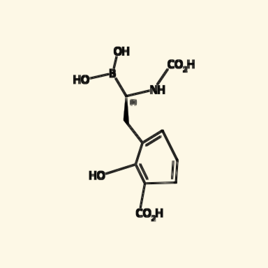 O=C(O)N[C@@H](Cc1cccc(C(=O)O)c1O)B(O)O